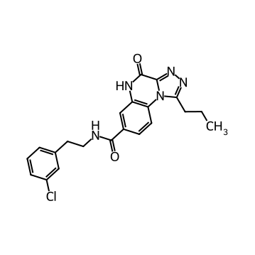 CCCc1nnc2c(=O)[nH]c3cc(C(=O)NCCc4cccc(Cl)c4)ccc3n12